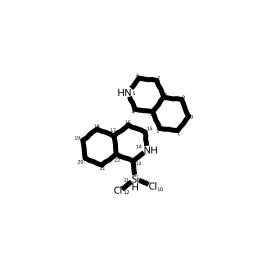 C1CCC2CNCCC2C1.Cl[SiH](Cl)C1NCCC2CCCCC21